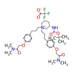 CN(C)C(=O)COc1ccc(CCC[N+]2(CCCc3ccc(OCC(=O)N(C)C)cc3)CCC[C@H](NC(=O)OC(C)(C)C)C2)cc1.O=C([O-])C(F)(F)F